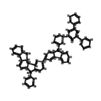 c1ccc(-c2nc(-c3ccccc3)nc(-c3cccc(-n4c5ccccc5c5cc(-c6ccc7c(c6)c6c8sc9ccccc9c8ccc6n7-c6ccccc6)ccc54)c3)n2)cc1